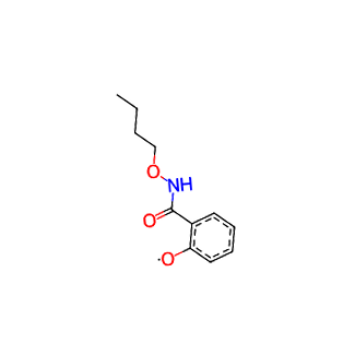 CCCCONC(=O)c1ccccc1[O]